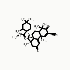 CNC(=O)[C@]1(CC[C@]2(C)CC(=O)C=C3[C@@]4(C)C=C(C#N)C(=O)C(C)(C)C4CC[C@]32C)CCC(C)(C)CC1C